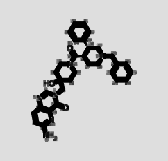 Nc1ccc2ncn(CC3(O)CCN(C(=O)[C@@H]4CCN(Cc5ccccc5)C[C@H]4c4ccccc4)CC3)c(=O)c2n1